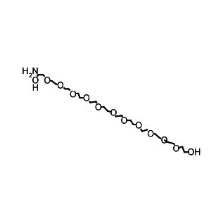 NC(O)COCCOCCOCCOCCOCCOCCOCCOCCOCCOCCOCCO